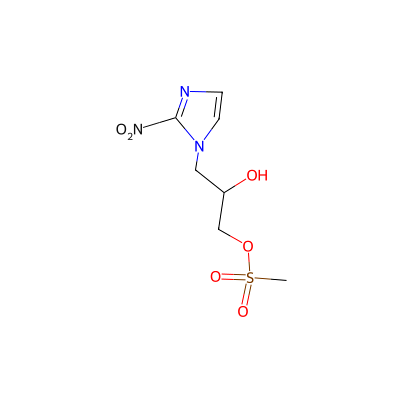 CS(=O)(=O)OCC(O)Cn1ccnc1[N+](=O)[O-]